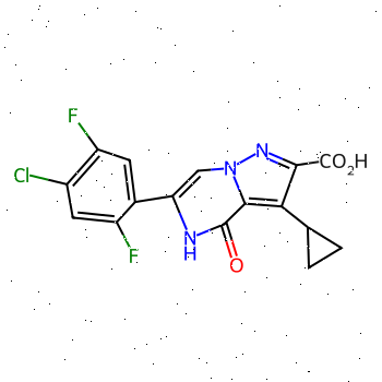 O=C(O)c1nn2cc(-c3cc(F)c(Cl)cc3F)[nH]c(=O)c2c1C1CC1